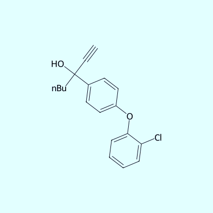 C#CC(O)(CCCC)c1ccc(Oc2ccccc2Cl)cc1